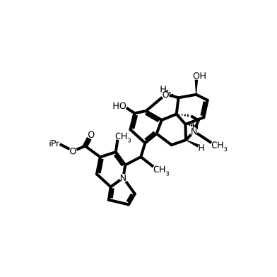 Cc1c(C(=O)OC(C)C)cc2cccn2c1C(C)c1cc(O)c2c3c1C[C@@H]1[C@@H]4C=C[C@H](O)[C@H](O2)[C@]34CCN1C